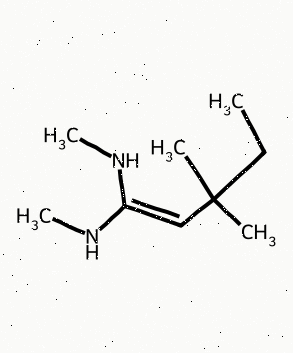 CCC(C)(C)C=C(NC)NC